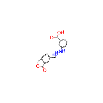 O=C(O)c1cccc(N/N=C/c2ccc3c(c2)C(=O)OC3)c1